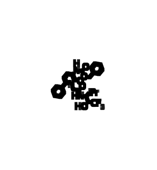 CC(C)C(NC(=O)Cn1c(-c2ccccc2)ccc(NC(=O)OCc2ccccc2)c1=O)C(O)C(F)(F)F